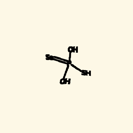 OP(O)(S)=[Se]